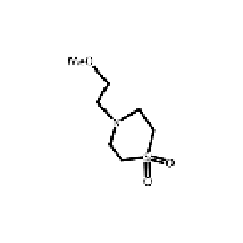 COCCN1CCS(=O)(=O)CC1